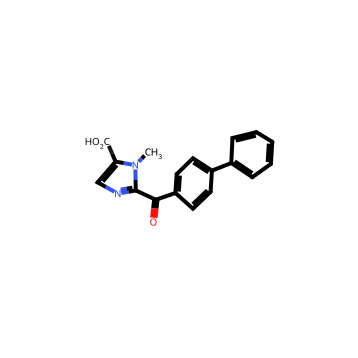 Cn1c(C(=O)O)cnc1C(=O)c1ccc(-c2ccccc2)cc1